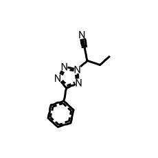 CCC(C#N)n1nnc(-c2ccccc2)n1